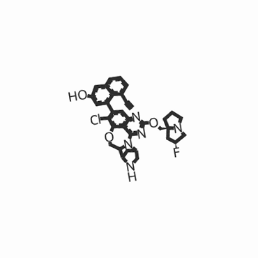 C#Cc1cccc2cc(O)cc(-c3cc4nc(OC[C@@]56CCCN5C[C@H](F)C6)nc5c4c(c3Cl)OCC3C4CC(CN4)N53)c12